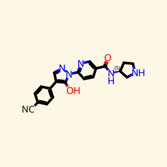 N#Cc1ccc(-c2cnn(-c3ccc(C(=O)N[C@H]4CCNC4)cn3)c2O)cc1